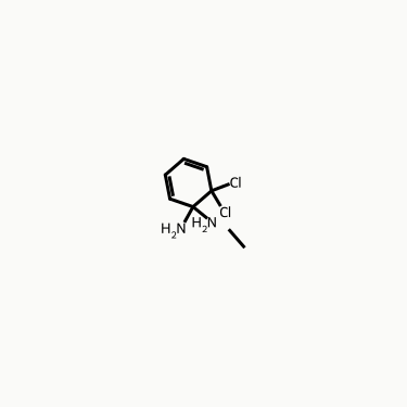 CC.NC1(N)C=CC=CC1(Cl)Cl